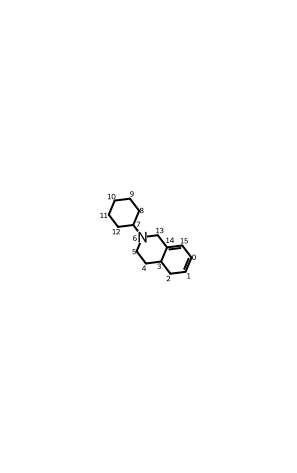 C1=CCC2CCN(C3CCCCC3)CC2=C1